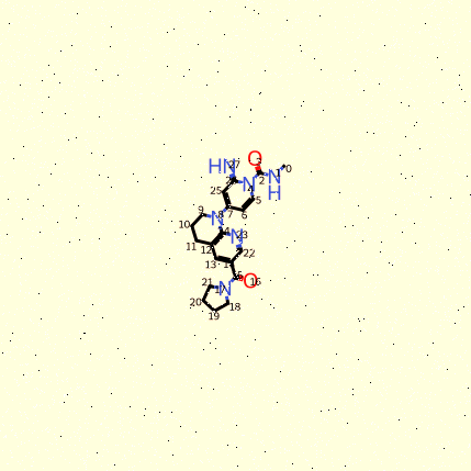 CNC(=O)n1ccc(N2CCCc3cc(C(=O)N4CCCC4)cnc32)cc1=N